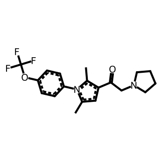 Cc1cc(C(=O)CN2CCCC2)c(C)n1-c1ccc(OC(F)(F)F)cc1